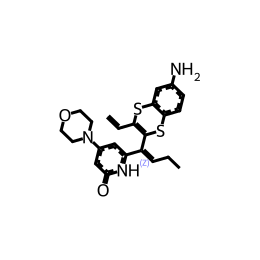 C=CC1=C(/C(=C\CC)c2cc(N3CCOCC3)cc(=O)[nH]2)Sc2ccc(N)cc2S1